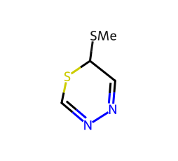 CSC1C=NN=CS1